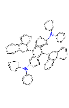 C1=CCCC(N(c2ccccc2)c2ccc3c(-c4cc5ccccc5c5ccccc45)c4cc(N(c5ccccc5)c5ccccc5)ccc4c(-c4cc5ccccc5c5ccccc45)c3c2)=C1